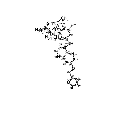 C[C@H]1C2[C@@]1(C(=O)N(C)C)SC(N)=N[C@]2(C)c1cc(Nc2ncnc3cc(OCc4ncco4)cnc23)cc(F)c1F